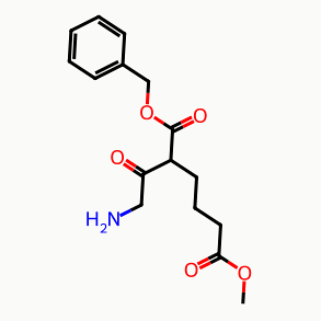 COC(=O)CCCC(C(=O)CN)C(=O)OCc1ccccc1